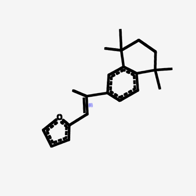 C/C(=C\c1ccco1)c1ccc2c(c1)C(C)(C)CCC2(C)C